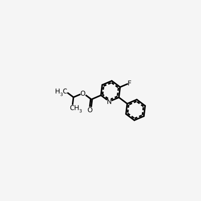 CC(C)OC(=O)c1ccc(F)c(-c2ccccc2)n1